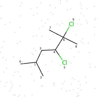 CC(C)CC(Cl)C(C)(C)Cl